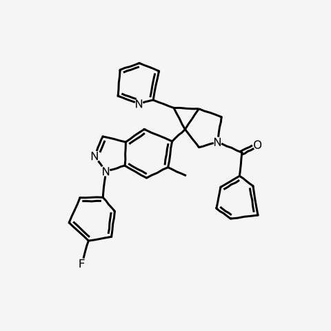 Cc1cc2c(cnn2-c2ccc(F)cc2)cc1C12CN(C(=O)c3ccccc3)CC1C2c1ccccn1